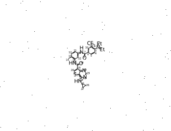 CCN(CC)c1ccc(C(=O)Nc2ccc(C)c(NC(=O)c3csc4c(NC5CC5)ncnc34)c2)cc1C(F)(F)F